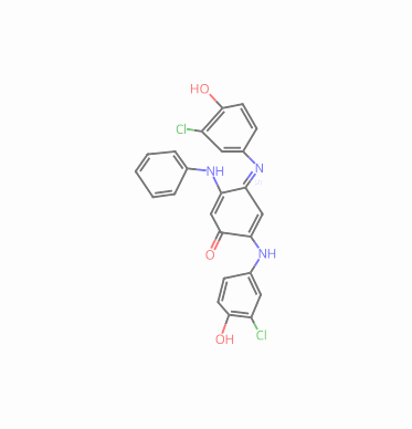 O=C1C=C(Nc2ccccc2)/C(=N\c2ccc(O)c(Cl)c2)C=C1Nc1ccc(O)c(Cl)c1